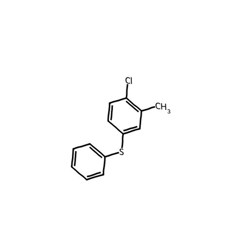 Cc1cc(Sc2ccccc2)ccc1Cl